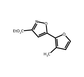 CCOC(=O)c1cc(-c2occc2C)on1